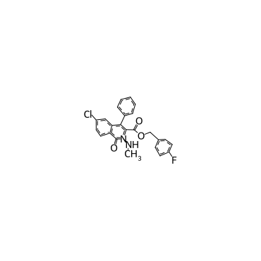 CNn1c(C(=O)OCc2ccc(F)cc2)c(-c2ccccc2)c2cc(Cl)ccc2c1=O